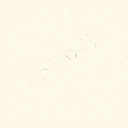 COC(=O)C1CCCC1Nc1ccc(-c2nc(-c3ccc(OC(C)C)c(Cl)c3)no2)cc1